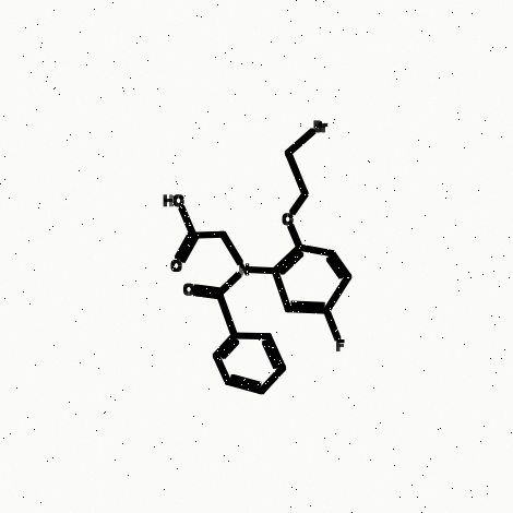 O=C(O)CN(C(=O)c1ccccc1)c1cc(F)ccc1OCCBr